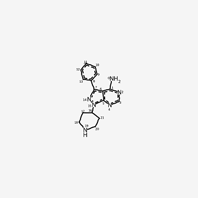 Nc1ncnc2c1c(-c1cc[c]cc1)nn2C1CCNCC1